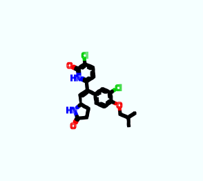 CC(C)COc1ccc(/C(=C\[C@H]2CCC(=O)N2)c2ccc(Cl)c(=O)[nH]2)cc1Cl